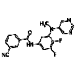 CN(c1cncnc1)c1cc(NC(=O)c2cccc(C#N)c2)cc(F)c1F